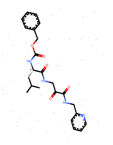 CC(C)C[C@H](NC(=O)OCc1ccccc1)C(=O)NCC(=O)C(=O)NCc1ccccn1